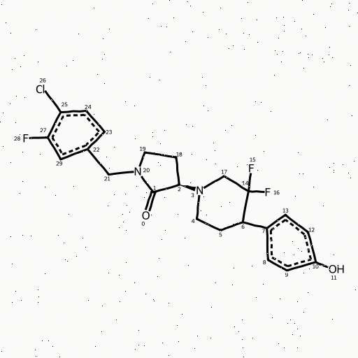 O=C1[C@H](N2CCC(c3ccc(O)cc3)C(F)(F)C2)CCN1Cc1ccc(Cl)c(F)c1